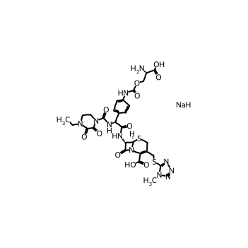 CCN1CCN(C(=O)N[C@H](C(=O)N[C@@H]2C(=O)N3C(C(=O)O)=C(CSc4nnnn4C)CS[C@H]23)c2ccc(NC(=O)OC[C@@H](N)C(=O)O)cc2)C(=O)C1=O.[NaH]